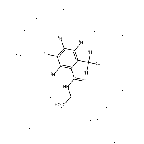 [2H]c1c([2H])c([2H])c(C([2H])([2H])[2H])c(C(=O)NCC(=O)O)c1[2H]